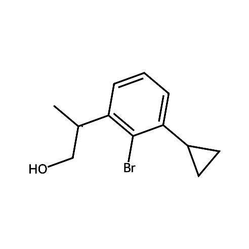 C[C](CO)c1cccc(C2CC2)c1Br